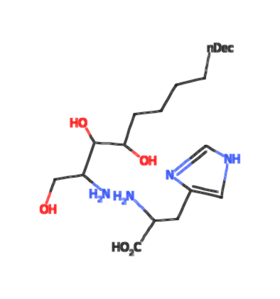 CCCCCCCCCCCCCCC(O)C(O)C(N)CO.NC(Cc1c[nH]cn1)C(=O)O